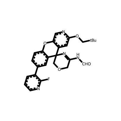 CC(C)(C)COc1cc2c(cn1)Oc1ccc(-c3cccnc3F)cc1C21COCC(NC=O)=N1